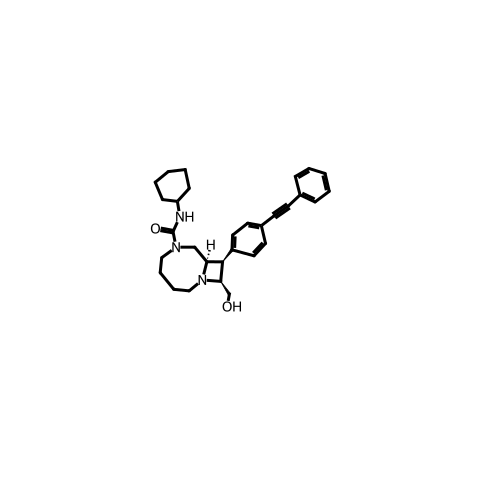 O=C(NC1CCCCC1)N1CCCCN2[C@H](CO)[C@H](c3ccc(C#Cc4ccccc4)cc3)[C@@H]2C1